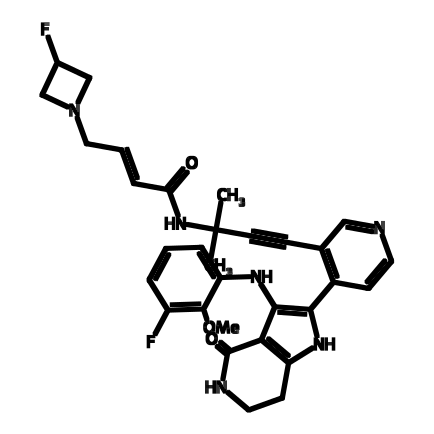 COc1c(F)cccc1Nc1c(-c2ccncc2C#CC(C)(C)NC(=O)/C=C/CN2CC(F)C2)[nH]c2c1C(=O)NCC2